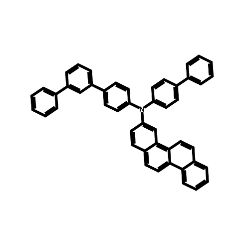 c1ccc(-c2ccc(N(c3ccc(-c4cccc(-c5ccccc5)c4)cc3)c3ccc4ccc5c6ccccc6ccc5c4c3)cc2)cc1